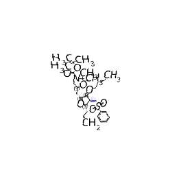 C=CC[C@@H]1O[C@H](C[C@H]2CN(C(=O)OC(C)(C)C)C(C)(C)O2)[C@H](OCCCC)/C1=C/S(=O)(=O)c1ccccc1